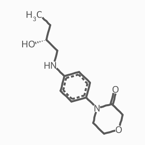 CC[C@@H](O)CNc1ccc(N2CCOCC2=O)cc1